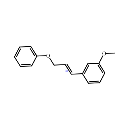 COc1cccc(/C=C/COc2ccccc2)c1